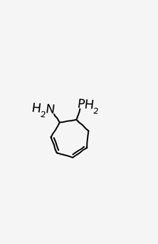 NC1C=CC=CCC1P